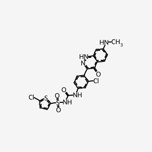 CNc1ccc2c(=O)c(-c3ccc(NC(=O)NS(=O)(=O)c4ccc(Cl)s4)cc3Cl)n[nH]c2c1